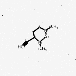 C#CC1CCN(C)SN1C